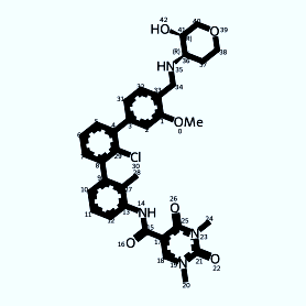 COc1cc(-c2cccc(-c3cccc(NC(=O)c4cn(C)c(=O)n(C)c4=O)c3C)c2Cl)ccc1CN[C@@H]1CCOC[C@@H]1O